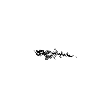 CCC=CC(=O)SCCNC(=O)CCNC(=O)C(O)C(C)(C)COP(=O)(O)OP(=O)(O)OCC1OC(C)(n2cnc3c(N)ncnc32)C(O)C1OP(=O)(O)O